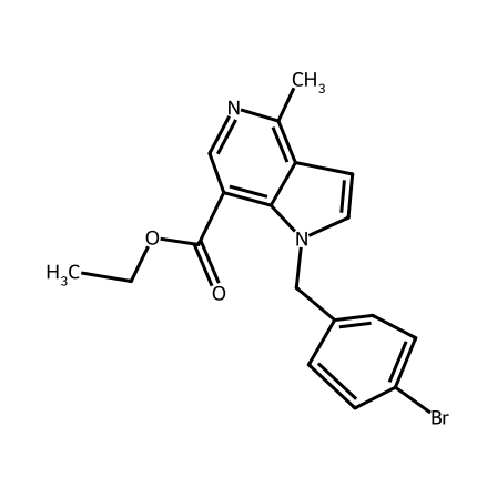 CCOC(=O)c1cnc(C)c2ccn(Cc3ccc(Br)cc3)c12